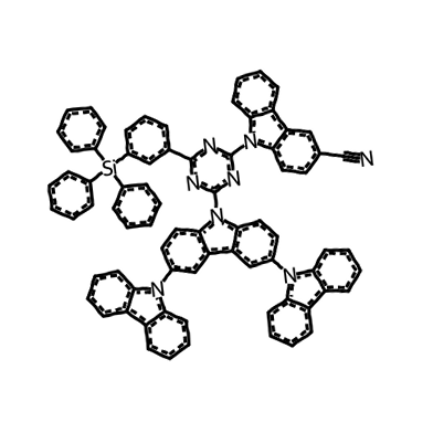 N#Cc1ccc2c(c1)c1ccccc1n2-c1nc(-c2cccc([Si](c3ccccc3)(c3ccccc3)c3ccccc3)c2)nc(-n2c3ccc(-n4c5ccccc5c5ccccc54)cc3c3cc(-n4c5ccccc5c5ccccc54)ccc32)n1